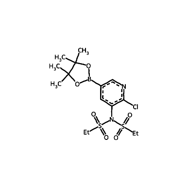 CCS(=O)(=O)N(c1cc(B2OC(C)(C)C(C)(C)O2)cnc1Cl)S(=O)(=O)CC